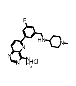 CN1CCC(NCc2cc(F)cc(-c3ccc4ncnc(N)c4n3)c2)CC1.Cl